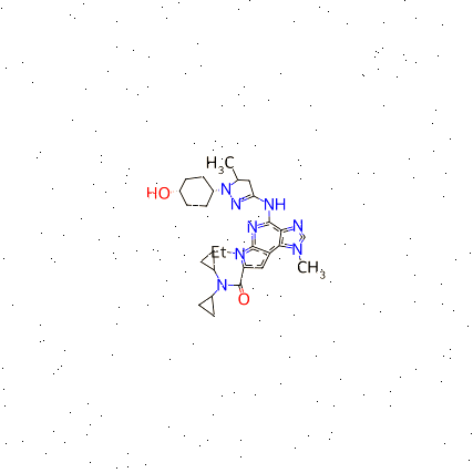 CCn1c(C(=O)N(C2CC2)C2CC2)cc2c3c(ncn3C)c(NC3=NN([C@H]4CC[C@@H](O)CC4)C(C)C3)nc21